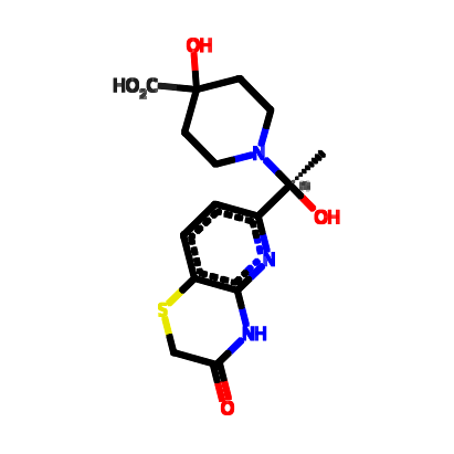 C[C@](O)(c1ccc2c(n1)NC(=O)CS2)N1CCC(O)(C(=O)O)CC1